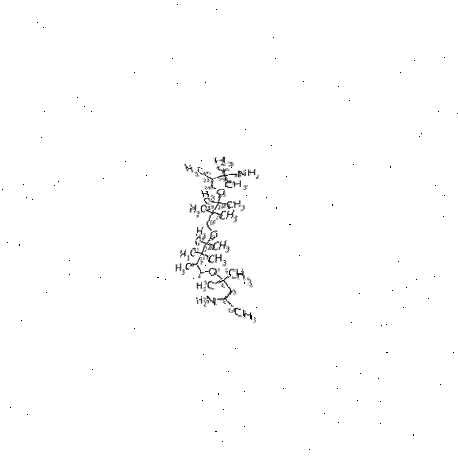 CC(N)CC(C)(C)OCC(C)C(C)(C)C(C)(C)OCC(C)(C)C(C)(C)OCC(C)C(C)(C)N